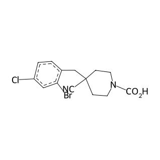 N#CC1(Cc2ccc(Cl)cc2Br)CCN(C(=O)O)CC1